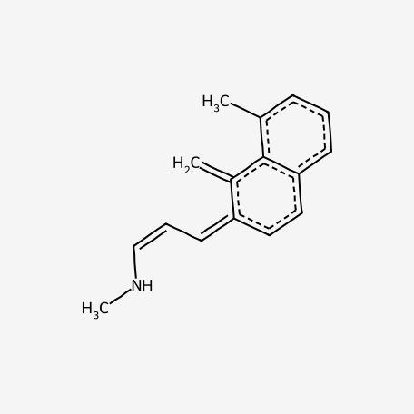 C=c1/c(=C\C=C/NC)ccc2cccc(C)c12